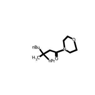 CCCCC(C)(CCC)CC(=O)N1CCOCC1